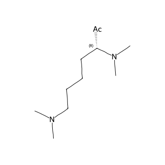 CC(=O)[C@@H](CCCCN(C)C)N(C)C